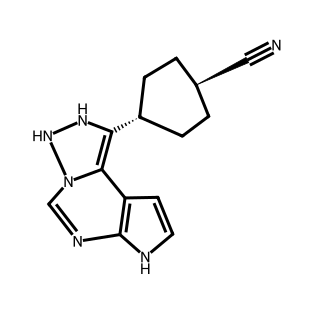 N#C[C@H]1CC[C@H](C2=C3c4cc[nH]c4N=CN3NN2)CC1